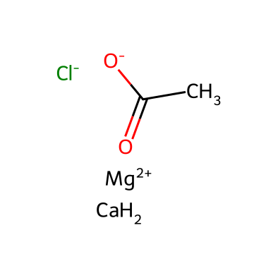 CC(=O)[O-].[CaH2].[Cl-].[Mg+2]